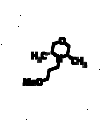 COCCCN1[C@H](C)COC[C@H]1C